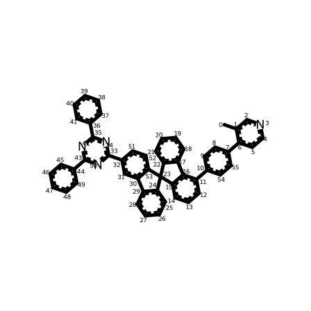 Cc1cnccc1-c1ccc(-c2cccc3c2-c2ccccc2C32c3ccccc3-c3cc(-c4nc(-c5ccccc5)nc(-c5ccccc5)n4)ccc32)cc1